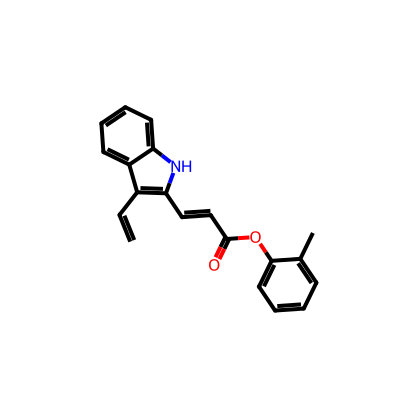 C=Cc1c(/C=C/C(=O)Oc2ccccc2C)[nH]c2ccccc12